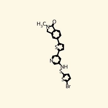 CN1Cc2cc(-c3ccc(-c4cncc(NSc5ccc(Br)s5)c4)s3)ccc2C1=O